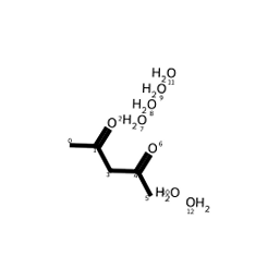 CC(=O)CC(C)=O.O.O.O.O.O.O